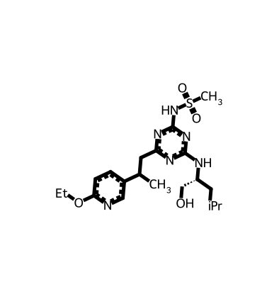 CCOc1ccc(C(C)Cc2nc(N[C@@H](CO)CC(C)C)nc(NS(C)(=O)=O)n2)cn1